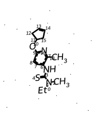 CCN(C)C(=S)Nc1ccc(OC2CC=CC2)nc1C